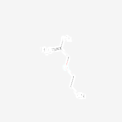 C=C(CCCC)COCCC#N